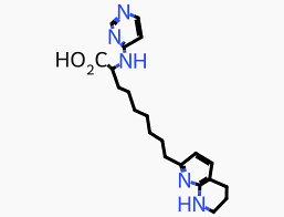 O=C(O)C(CCCCCCCc1ccc2c(n1)NCCC2)Nc1ccncn1